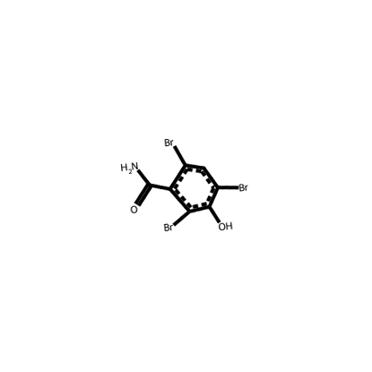 NC(=O)c1c(Br)cc(Br)c(O)c1Br